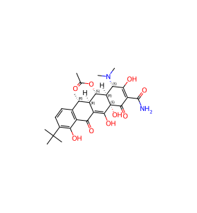 CC(=O)O[C@H]1[C@H]2C(=C(O)[C@]3(O)C(=O)C(C(N)=O)=C(O)[C@@H](N(C)C)[C@H]13)C(=O)c1c(ccc(C(C)(C)C)c1O)[C@@H]2C